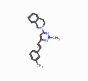 Cc1nc(/C=C/c2cccc(C(F)(F)F)c2)cc(N2CCc3ccccc3C2)n1